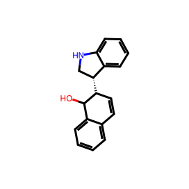 OC1c2ccccc2C=CC1[C@@H]1CNc2ccccc21